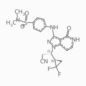 CN(C)S(=O)(=O)c1ccc(Nc2nn([C@@H](CC#N)[C@H]3CC3(F)F)c3cc[nH]c(=O)c23)cc1